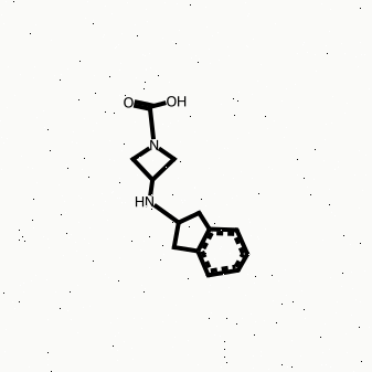 O=C(O)N1CC(NC2Cc3ccccc3C2)C1